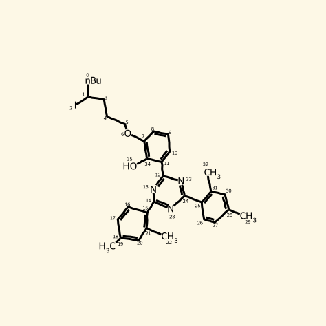 CCCCC(I)CCCOc1cccc(-c2nc(-c3ccc(C)cc3C)nc(-c3ccc(C)cc3C)n2)c1O